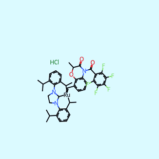 CC1Oc2c(/[CH]=[Ru]/[CH]3N(c4c(C(C)C)cccc4C(C)C)CCN3c3c(C(C)C)cccc3C(C)C)cccc2N(C(=O)c2c(F)c(F)c(F)c(F)c2F)C1=O.Cl